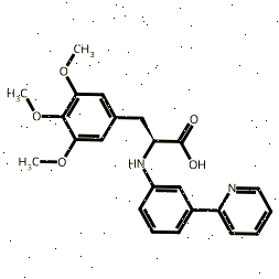 COc1cc(C[C@H](Nc2cccc(-c3ccccn3)c2)C(=O)O)cc(OC)c1OC